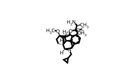 COc1ccc2c3c1O[C@H]1[C@@]4(OC)CC[C@@]5(C[C@@H]4COC(=O)[C@H](C)N)[C@@H](C2)N(CC2CC2)CC[C@]315